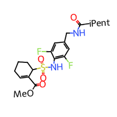 CCCC(C)C(=O)NCc1cc(F)c(NS(=O)(=O)C2CCCC=C2C(=O)OC)c(F)c1